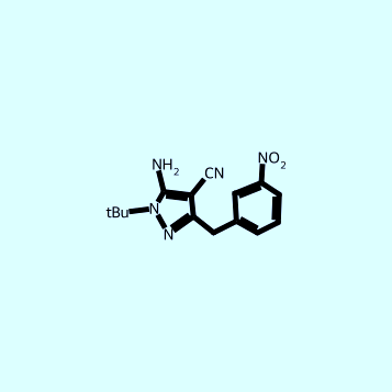 CC(C)(C)n1nc(Cc2cccc([N+](=O)[O-])c2)c(C#N)c1N